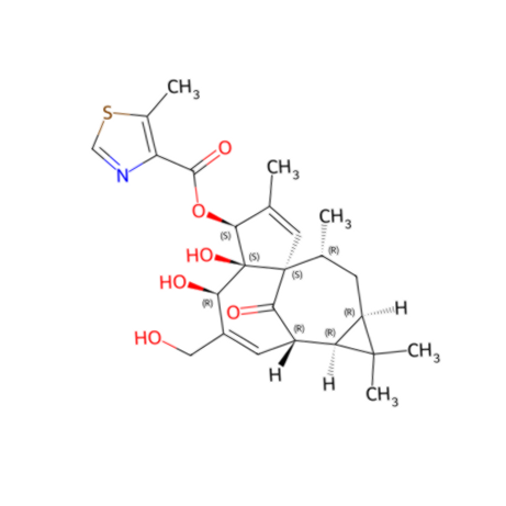 CC1=C[C@]23C(=O)[C@@H](C=C(CO)[C@@H](O)[C@]2(O)[C@H]1OC(=O)c1ncsc1C)[C@H]1[C@@H](C[C@H]3C)C1(C)C